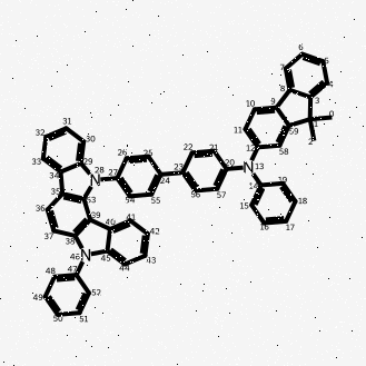 CC1(C)c2ccccc2-c2ccc(N(c3ccccc3)c3ccc(-c4ccc(-n5c6ccccc6c6ccc7c(c8ccccc8n7-c7ccccc7)c65)cc4)cc3)cc21